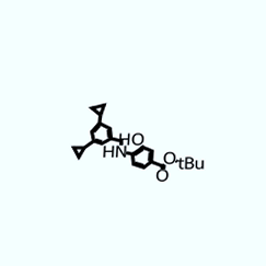 CC(C)(C)OC(=O)c1ccc(NCc2cc(C3CC3)cc(C3CC3)c2)c(O)c1